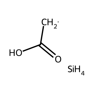 [CH2]C(=O)O.[SiH4]